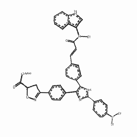 CCN(CC)c1ccc(-c2nc(-c3ccc(C4=NOC(C(=O)OC)C4)cc3)c(-c3ccc(C=CC(=O)N(CC)c4c[nH]c5ccccc45)cc3)[nH]2)cc1